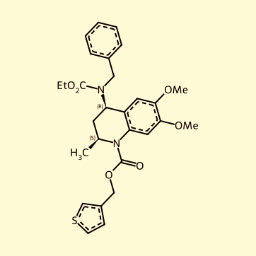 CCOC(=O)N(Cc1ccccc1)[C@@H]1C[C@H](C)N(C(=O)OCc2ccsc2)c2cc(OC)c(OC)cc21